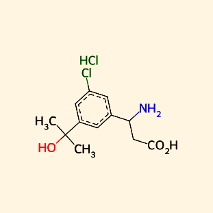 CC(C)(O)c1cc(Cl)cc(C(N)CC(=O)O)c1.Cl